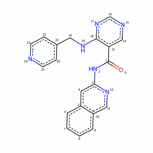 O=C(Nc1cc2ccccc2cn1)c1cncnc1NCc1ccncc1